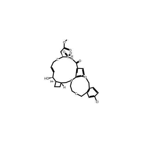 COC(=O)C[C@@H]1CC/C=C/[C@H](O)[C@@H]2CC[C@H]2CN2CCCCc3cc(Cl)ccc3COc3ccc(cc32)C(=O)NS1(=O)=O